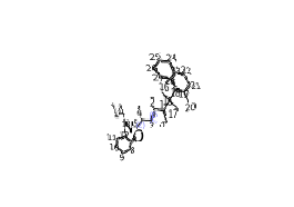 C=C(/C=C/C=C1\Oc2ccccc2N1C)C(C)(C)c1c(C)ccc2ccccc12